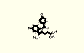 Cc1c(CCC(O)O)n(C(=O)c2ccc(Cl)cc2)c2ccc(F)cc12